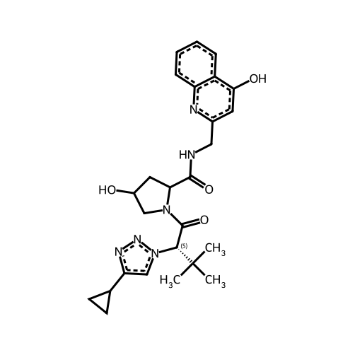 CC(C)(C)[C@@H](C(=O)N1CC(O)CC1C(=O)NCc1cc(O)c2ccccc2n1)n1cc(C2CC2)nn1